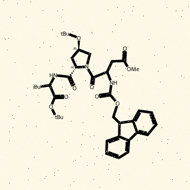 CCC(C)C(NC(=O)[C@@H]1C[C@@H](OC(C)(C)C)CN1C(=O)C(CC(=O)OC)NC(=O)OCC1c2ccccc2-c2ccccc21)C(=O)OC(C)(C)C